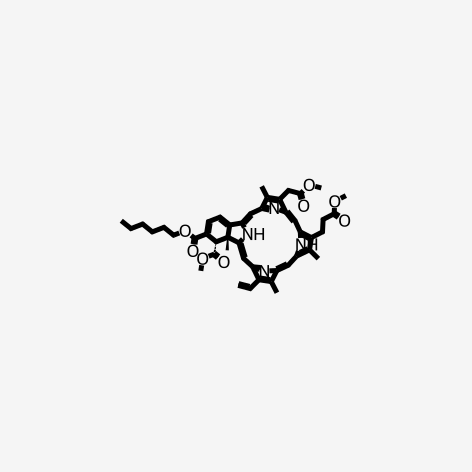 C=CC1=C(C)c2cc3[nH]c(cc4nc(cc5[nH]c(cc1n2)[C@@]1(C)C5=CC=C(C(=O)OCCCCCC)[C@H]1C(=O)OC)C(C)=C4CC(=O)OC)c(CCC(=O)OC)c3C